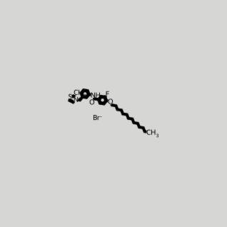 CCCCCCCCCCCCCCOc1ccc(C(=O)Nc2cccc(C[n+]3ccsc3C)c2)cc1F.[Br-]